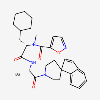 CC[C@H](C)[C@H](NC(=O)[C@H](CC1CCCCC1)N(C)C(=O)c1ccno1)C(=O)N1CCC2(C=Cc3ccccc32)CC1